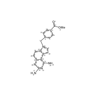 COC(=O)c1ccc(Cn2ccc3c4c(N)nc(N)nc4ccc32)cc1